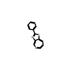 C1=CC=c2sc(-c3ccccc3)nc2=CN=1